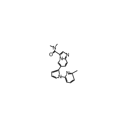 Cc1cccc(-n2cccc2-c2ccc3ncc(C(=O)N(C)C)n3c2)n1